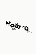 CCn1c(-c2ccc(NC(=O)C3CC3)cc2)c(C#N)c2ccc(OCCN3CCCN(C)CC3)cc21